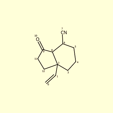 C=CC12CCCC(C#N)C1C(=O)CC2